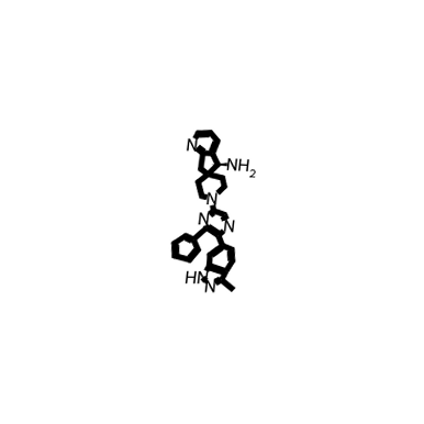 Cc1n[nH]c2cc(-c3ncc(N4CCC5(CC4)Cc4ncccc4[C@H]5N)nc3-c3ccccc3)ccc12